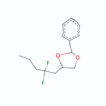 CCCC(F)(F)CC1COC(c2ccccc2)O1